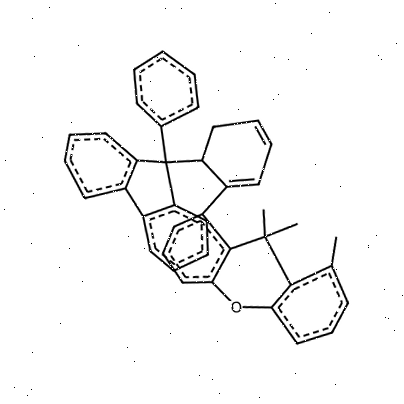 Cc1cccc2c1C(C)(C)c1c(cccc1C1=CC=CCC1C1(c3ccccc3)c3ccccc3-c3ccccc31)O2